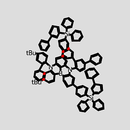 CC(C)(C)c1ccc(N2c3cc(C(C)(C)C)ccc3B3c4ccc(-c5ccc([Si](c6ccccc6)(c6ccccc6)c6cccc(-c7ccccc7)c6)cc5)cc4N(c4ccc(-c5ccccc5)cc4-c4ccccc4)c4cc(-c5ccc([Si](c6ccccc6)(c6ccccc6)c6cccc(-c7ccccc7)c6)cc5)cc2c43)c(-c2ccccc2)c1